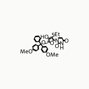 CCS[C@@H]1[C@H](O)[C@@H](COC(c2ccccc2)(c2ccc(OC)cc2)c2ccc(OC)cc2)O[C@H]1n1ccc(=O)[nH]c1=O